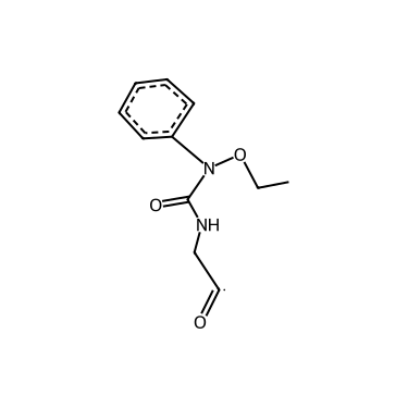 CCON(C(=O)NC[C]=O)c1ccccc1